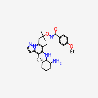 CCOc1ccc(C(=O)[N]OC(C)(C)Cc2c(C)c(NC3CCCCC3N)c(C#N)c3ccnn23)cc1